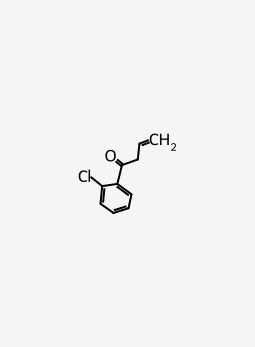 C=CCC(=O)c1ccccc1Cl